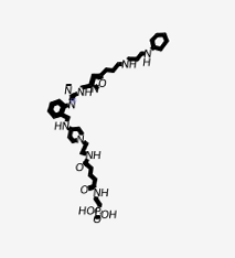 C=N/C(=N\c1ccccc1CNC1CCN(CCNC(=O)CCCC(=O)NCCP(=O)(O)O)CC1)NCc1cc(CCCNCCCNC2CCCCC2)on1